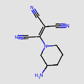 N#CC(C#N)=C(C#N)N1CCCC(N)C1